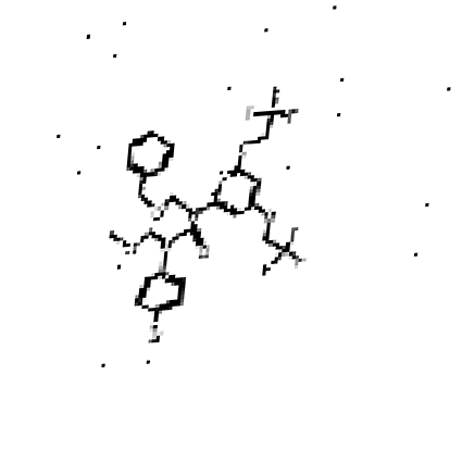 COCN(C(=O)N(COCc1ccccc1)c1cc(OCC(F)(F)F)cc(OCC(F)(F)F)n1)c1ccc(Br)cc1